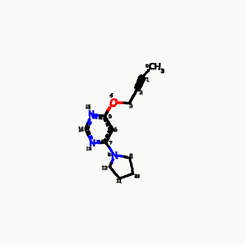 CC#CCOc1cc(N2CCCC2)ncn1